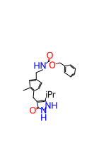 Cc1cc(CCNC(=O)OCc2ccccc2)ccc1Cc1c(C(C)C)[nH][nH]c1=O